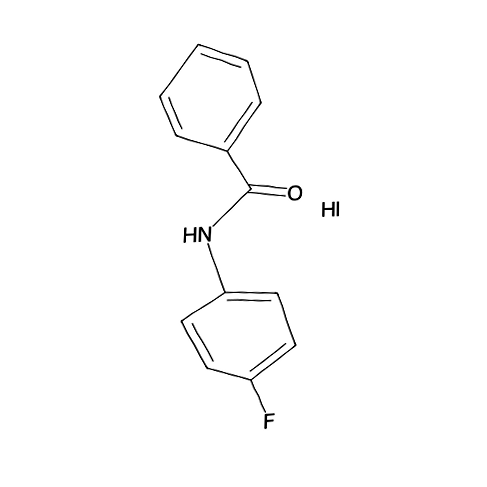 I.O=C(Nc1ccc(F)cc1)c1ccccc1